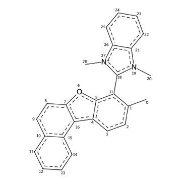 Cc1ccc2c(oc3ccc4ccccc4c32)c1-c1n(C)c2ccccc2[n+]1C